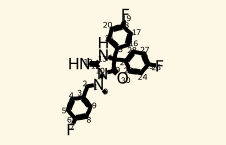 CN(Cc1ccc(F)cc1)N1C(=N)NC(c2ccc(F)cc2)(c2ccc(F)cc2)C1=O